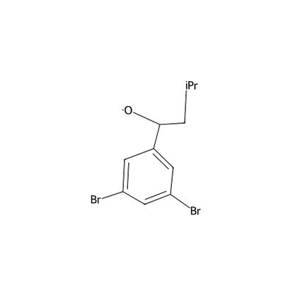 CC(C)CC([O])c1cc(Br)cc(Br)c1